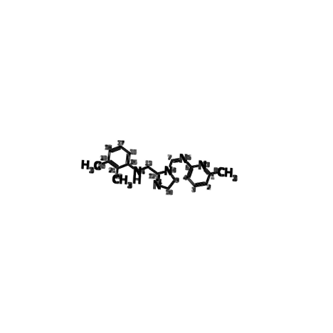 Cc1cccc(/N=C\N2CCN=C2CNc2cccc(C)c2C)n1